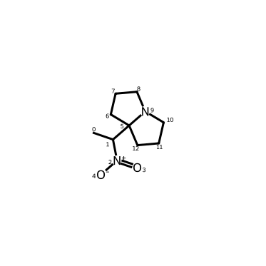 CC([N+](=O)[O-])C12CCCN1CCC2